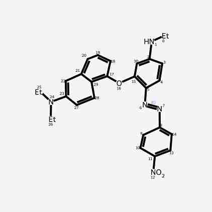 CCNc1ccc(/N=N/c2ccc([N+](=O)[O-])cc2)c(Oc2cccc3cc(N(CC)CC)ccc23)c1